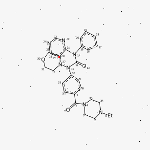 CCN1CCN(C(=O)c2ccc(N(C(=O)N(c3ccccc3)c3ncncn3)N3CCOCC3)cc2)CC1